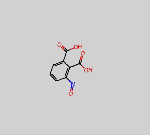 O=Nc1cccc(C(=O)O)c1C(=O)O